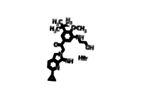 Br.COc1c(NCCO)cc(C(=O)CN2Cc3ccc(C4CC4)nc3C2=N)cc1C(C)(C)C